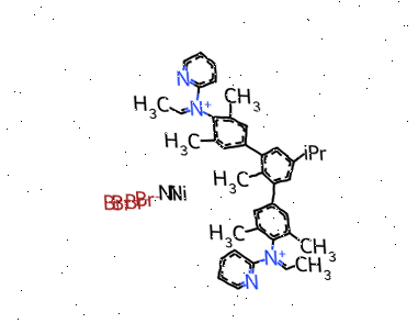 CC=[N+](c1ccccn1)c1c(C)cc(-c2cc(C(C)C)cc(-c3cc(C)c([N+](=CC)c4ccccn4)c(C)c3)c2C)cc1C.[Br-].[Br-].[Br-].[Br-].[Ni].[Ni]